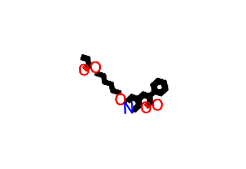 C=CC(=O)OCCCCCCOc1cc2cc(-c3ccccc3)c(=O)oc2cn1